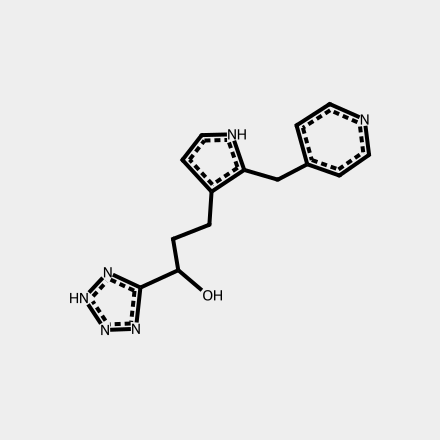 OC(CCc1cc[nH]c1Cc1ccncc1)c1nn[nH]n1